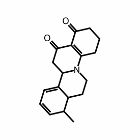 CC1C=CC=C2C1CCN1C3=C(C(=O)CCC3)C(=O)CC21